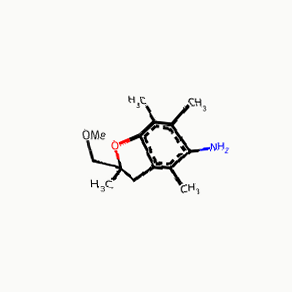 COCC1(C)Cc2c(C)c(N)c(C)c(C)c2O1